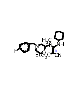 CCOC(=O)/C(C#N)=C(/NC1CCCCC1)N(C)C1CN(Cc2ccc(F)cc2)CCO1